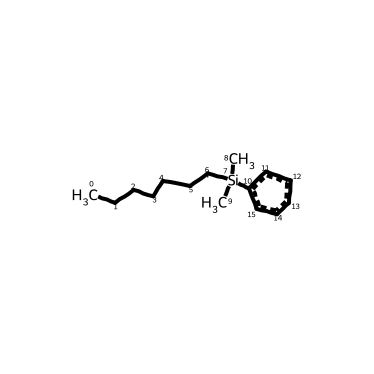 CCCCCC[CH][Si](C)(C)c1ccccc1